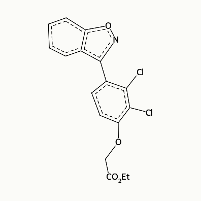 CCOC(=O)COc1ccc(-c2noc3ccccc23)c(Cl)c1Cl